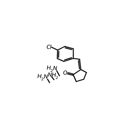 CN.CN.CN.O=C1CCCC1=Cc1ccc(Cl)cc1